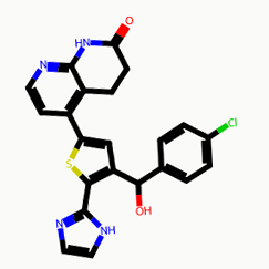 O=C1CCc2c(-c3cc(C(O)c4ccc(Cl)cc4)c(-c4ncc[nH]4)s3)ccnc2N1